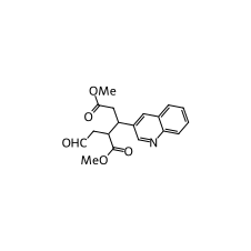 COC(=O)CC(c1cnc2ccccc2c1)C(CC=O)C(=O)OC